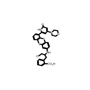 O=C(O)c1ccccc1CC(CCl)Nc1ccc2c(c1)Sc1cccc(-c3cc(N4CCOCC4)cc(=O)[nH]3)c1S2